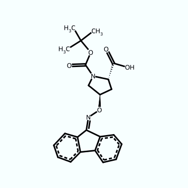 CC(C)(C)OC(=O)N1C[C@H](ON=C2c3ccccc3-c3ccccc32)C[C@H]1C(=O)O